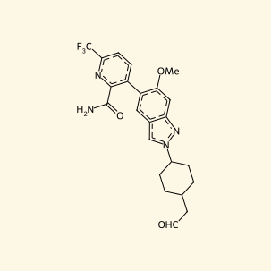 COc1cc2nn(C3CCC(CC=O)CC3)cc2cc1-c1ccc(C(F)(F)F)nc1C(N)=O